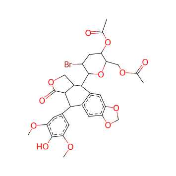 COc1cc(C2c3cc4c(cc3C(C3OC(COC(C)=O)C(OC(C)=O)CC3Br)C3COC(=O)C23)OCO4)cc(OC)c1O